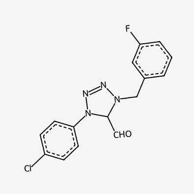 O=CC1N(Cc2cccc(F)c2)N=NN1c1ccc(Cl)cc1